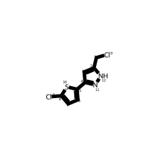 ClCc1cc(-c2ccc(Cl)s2)n[nH]1